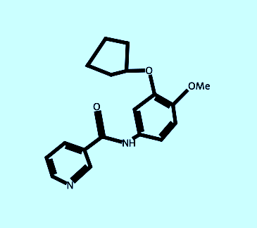 COc1ccc(NC(=O)c2cccnc2)cc1OC1CCCC1